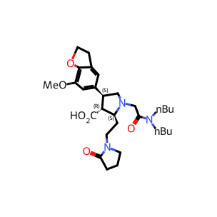 CCCCN(CCCC)C(=O)CN1C[C@H](c2cc3c(c(OC)c2)OCC3)[C@@H](C(=O)O)[C@@H]1CCN1CCCC1=O